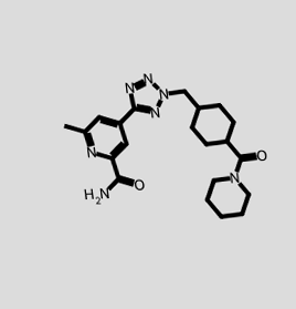 Cc1cc(-c2nnn(CC3CCC(C(=O)N4CCCCC4)CC3)n2)cc(C(N)=O)n1